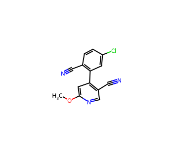 COc1cc(-c2cc(Cl)ccc2C#N)c(C#N)cn1